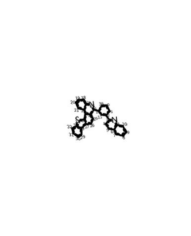 c1cc(-c2ccc3ccccc3n2)cc(-c2nc3ccccc3c3c2ccc2c4ccccc4sc23)c1